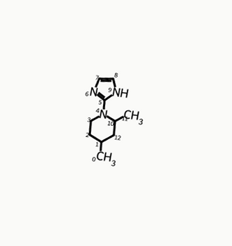 CC1CCN(c2ncc[nH]2)C(C)C1